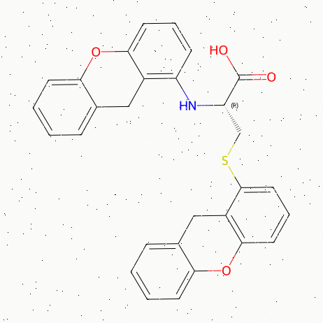 O=C(O)[C@H](CSc1cccc2c1Cc1ccccc1O2)Nc1cccc2c1Cc1ccccc1O2